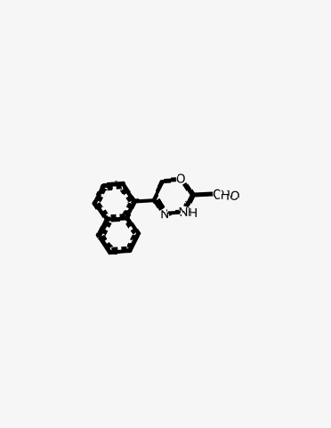 O=CC1NN=C(c2cccc3ccccc23)CO1